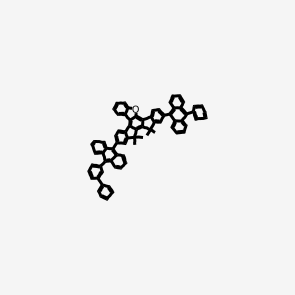 CC1(C)c2cc(-c3c4ccccc4c(-c4ccccc4)c4ccccc34)ccc2-c2c1c1c(c3c2oc2ccccc23)-c2ccc(-c3c4ccccc4c(-c4cccc(-c5ccccc5)c4)c4ccccc34)cc2C1(C)C